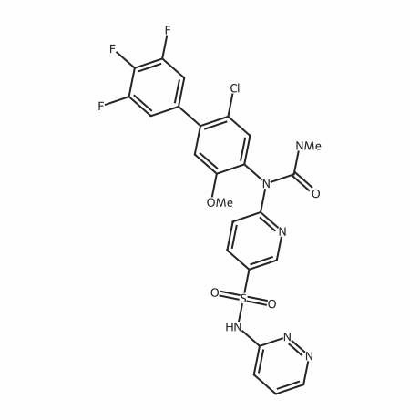 CNC(=O)N(c1ccc(S(=O)(=O)Nc2cccnn2)cn1)c1cc(Cl)c(-c2cc(F)c(F)c(F)c2)cc1OC